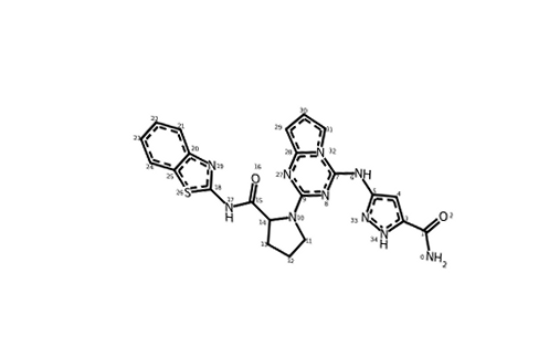 NC(=O)c1cc(Nc2nc(N3CCCC3C(=O)Nc3nc4ccccc4s3)nc3cccn23)n[nH]1